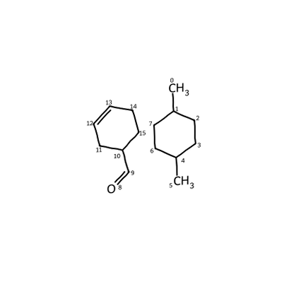 CC1CCC(C)CC1.O=CC1CC=CCC1